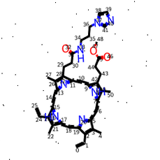 C=CC1=C(C)c2cc3[nH]c(cc4nc(cc5[nH]c(cc1n2)c(C)c5C=C)C(C)=C4CCC(=O)NCCCn1ccnc1)c(CCC(=O)OC)c3C